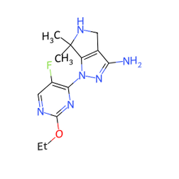 CCOc1ncc(F)c(-n2nc(N)c3c2C(C)(C)NC3)n1